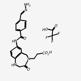 NN=Cc1ccc(C(=O)Nc2ccc3c(c2)CN(CCC(=O)O)C(=O)CN3)cc1.O=C(O)C(F)(F)F